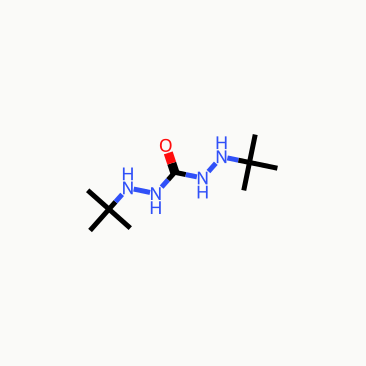 CC(C)(C)NNC(=O)NNC(C)(C)C